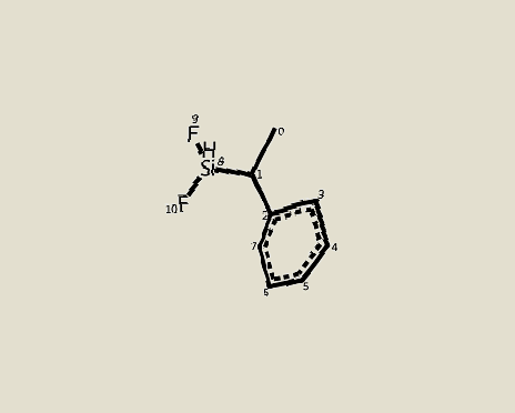 CC(c1ccccc1)[SiH](F)F